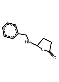 O=C1CCC(NCc2ccccc2)C1